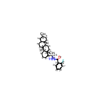 C[C@H]1CC[C@H]2C(CC[C@@H]3C2CC[C@@]2(C)C3CCC[C@@H]2CNC(=O)c2ccccc2F)C1